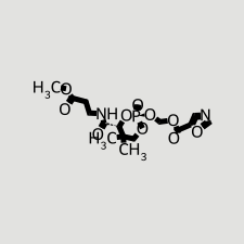 COC(=O)CCNC(=O)[C@@H]1O[P@@](=O)(OCOC(=O)c2cnco2)OCC1(C)C